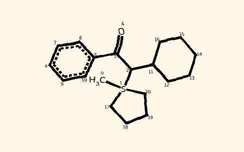 CS1(C(C(=O)c2ccccc2)C2CCCCC2)CCCC1